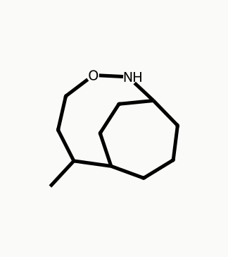 CC1CCONC2CCCC1CC2